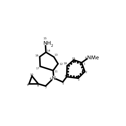 CNc1ccc(CN(CC2CC2)C2CCC(N)CC2)cc1